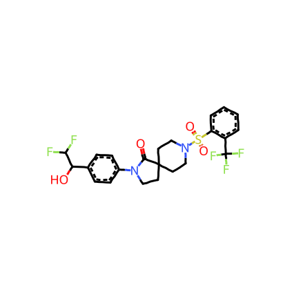 O=C1N(c2ccc(C(O)C(F)F)cc2)CCC12CCN(S(=O)(=O)c1ccccc1C(F)(F)F)CC2